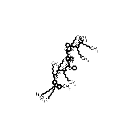 CCCCCCCCC1(CCCCCCCC)c2ccc(C)cc2-c2cc(-c3cc(CCCCCC)c(-c4cc(CCCCCC)c(-c5sc(-c6sc(-c7ccc(-c8cc(OC9CCCCC9)c(-c9cc(CCCCCC)c(-c%10sc(-c%11sc(C)cc%11CCCCCC)cc%10CCCCCC)s9)s8)c8nsnc78)cc6OC6CCCCC6)cc5CCCCCC)s4)s3)ccc21